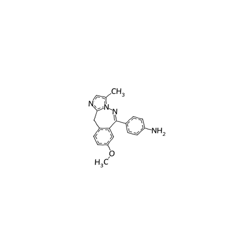 COc1ccc2c(c1)C(c1ccc(N)cc1)=Nn1c(C)cnc1C2